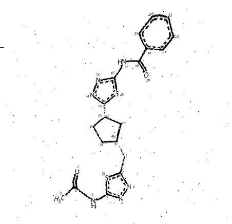 CC(=O)Nc1nnc(C[C@@H]2CC[C@H](c3nnc(NC(=O)c4ccccc4)s3)C2)s1